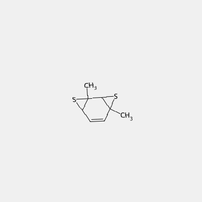 CC12C=CC3SC3(C)C1S2